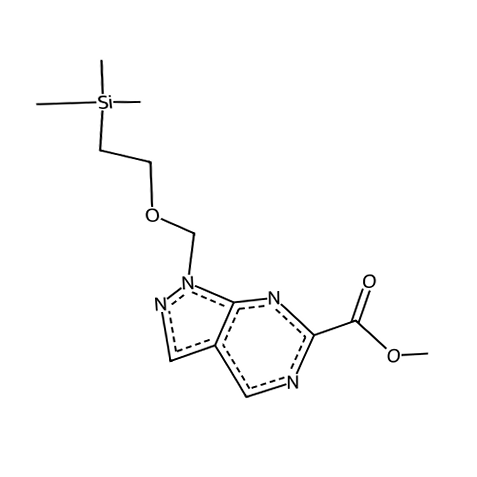 COC(=O)c1ncc2cnn(COCC[Si](C)(C)C)c2n1